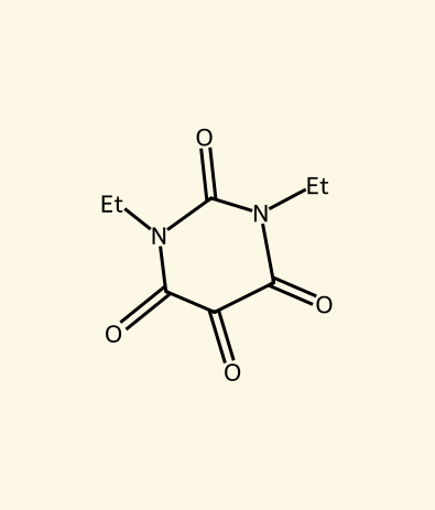 CCN1C(=O)C(=O)C(=O)N(CC)C1=O